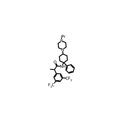 CC(C(=O)NC1(c2ccccc2)CCC(N2CCN(C(C)C)CC2)CC1)c1cc(C(F)(F)F)cc(C(F)(F)F)c1